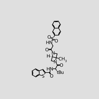 CC(C)(C)C(NC(=O)c1cc2ccccc2s1)C(=O)N1C[C@H]2N(C(=O)CNS(=O)(=O)c3ccc4ccccc4c3)CC21C